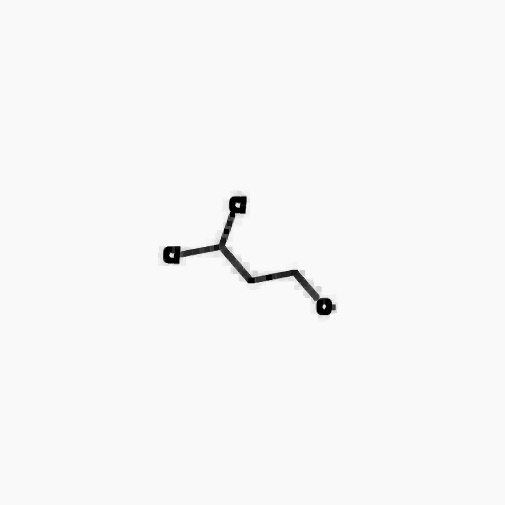 [O]CCC(Cl)Cl